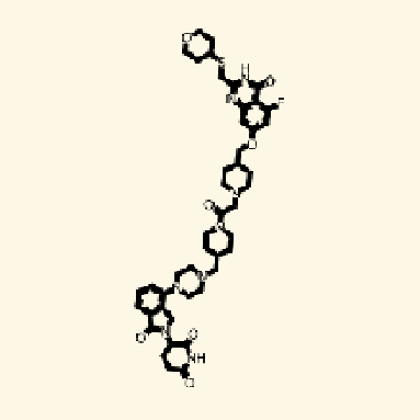 O=C1CCC(N2Cc3c(cccc3N3CCN(CC4CCN(C(=O)CN5CCC(COc6cc(F)c7c(=O)[nH]c(CSC8CCOCC8)nc7c6)CC5)CC4)CC3)C2=O)C(=O)N1